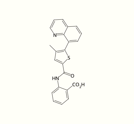 Cc1cc(C(=O)Nc2ccccc2C(=O)O)sc1-c1cccc2cccnc12